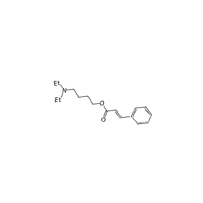 CCN(CC)CCCCOC(=O)/C=C/c1ccccc1